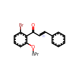 CCCOc1[c]ccc(Br)c1C(=O)/C=C/c1ccccc1